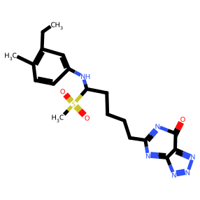 CCc1cc(NC(CCCCC2=NC(=O)C3=NN=NC3=N2)S(C)(=O)=O)ccc1C